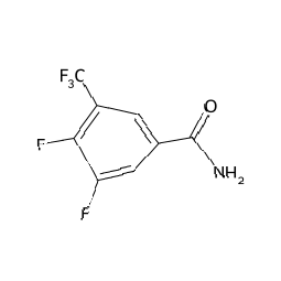 NC(=O)c1cc(F)c(F)c(C(F)(F)F)c1